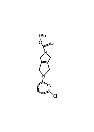 CC(C)(C)OC(=O)N1CC2=C(C1)CN(c1cccc(Cl)n1)C2